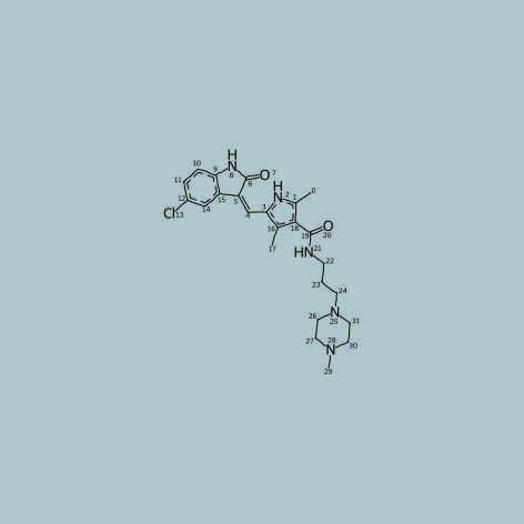 Cc1[nH]c(/C=C2\C(=O)Nc3ccc(Cl)cc32)c(C)c1C(=O)NCCCN1CCN(C)CC1